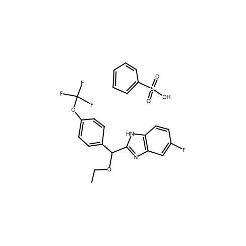 CCOC(c1ccc(OC(F)(F)F)cc1)c1nc2cc(F)ccc2[nH]1.O=S(=O)(O)c1ccccc1